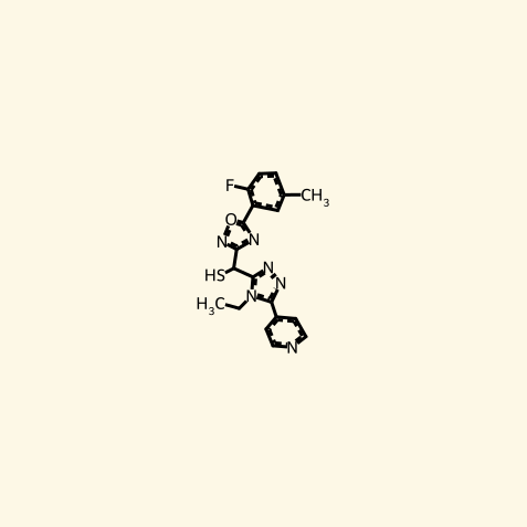 CCn1c(-c2ccncc2)nnc1C(S)c1noc(-c2cc(C)ccc2F)n1